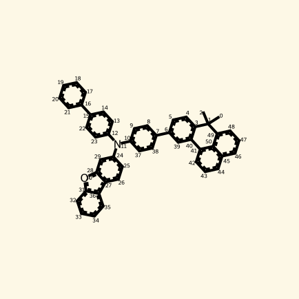 CC1(C)c2ccc(-c3ccc(N(c4ccc(-c5ccccc5)cc4)c4ccc5c(c4)oc4ccccc45)cc3)cc2-c2cccc3cccc1c23